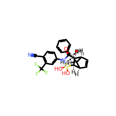 C[Si](C)(c1ccccc1)[C@@H]1[C@@H]2C=C[C@H]1[C@@H]1[C@H]2C(=O)N(c2ccc(C#N)c(C(F)(F)F)c2)S1(O)O